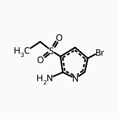 CCS(=O)(=O)c1cc(Br)cnc1N